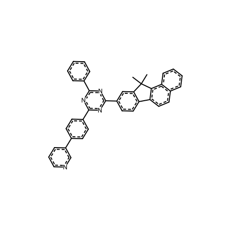 CC1(C)c2cc(-c3nc(-c4ccccc4)nc(-c4ccc(-c5cccnc5)cc4)n3)ccc2-c2ccc3ccccc3c21